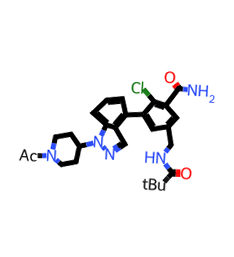 CC(=O)N1CCC(n2ncc3c(-c4cc(CNC(=O)C(C)(C)C)cc(C(N)=O)c4Cl)cccc32)CC1